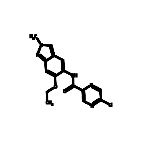 CCOc1cc2nn(C)cc2cc1NC(=O)c1cnc(Cl)cn1